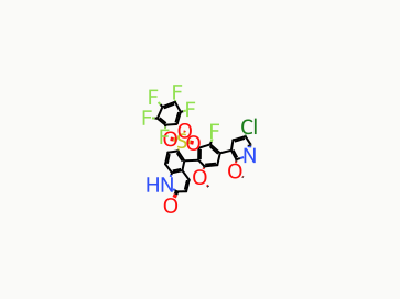 COc1cc(-c2cc(Cl)cnc2OC)c(F)cc1-c1c(S(=O)(=O)Oc2c(F)c(F)c(F)c(F)c2F)ccc2[nH]c(=O)ccc12